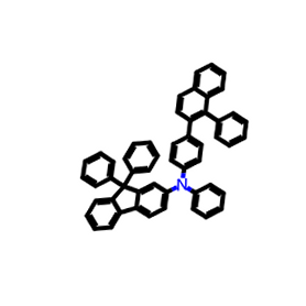 c1ccc(-c2c(-c3ccc(N(c4ccccc4)c4ccc5c(c4)C(c4ccccc4)(c4ccccc4)c4ccccc4-5)cc3)ccc3ccccc23)cc1